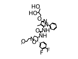 COCCN1C[C@@H](NC(=O)Nc2c(C)c(OCC(O)CO)nn2-c2ccccc2)[C@H](c2ccc(F)c(F)c2)O1